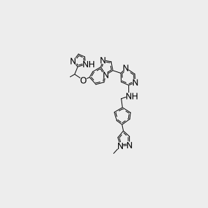 CC(Oc1ccn2c(-c3cc(NCc4ccc(-c5cnn(C)c5)cc4)ncn3)cnc2c1)c1ncc[nH]1